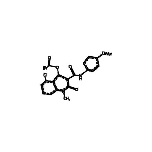 COc1ccc(NC(=O)c2c(OC(=O)C(C)C)c3c(Cl)cccc3n(C)c2=O)cc1